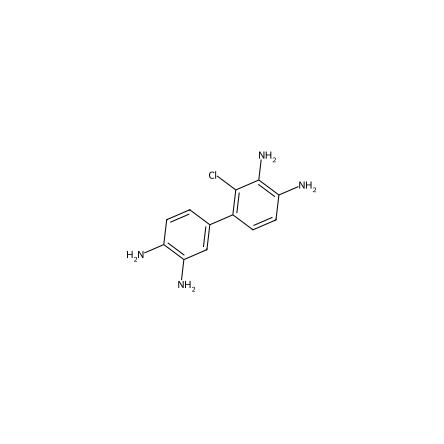 Nc1ccc(-c2ccc(N)c(N)c2Cl)cc1N